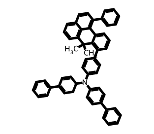 CC1(C)c2c(-c3ccc(N(c4ccc(-c5ccccc5)cc4)C4C=CC(c5ccccc5)=CC4)cc3)cccc2-c2c(-c3ccccc3)ccc3cccc1c23